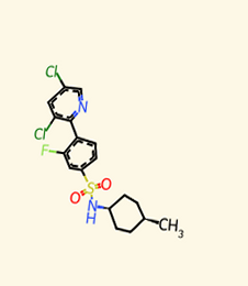 C[C@H]1CC[C@@H](NS(=O)(=O)c2ccc(-c3ncc(Cl)cc3Cl)c(F)c2)CC1